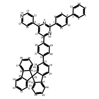 c1ccc(-c2ccc(-c3nc(-c4ccncc4)cc(-c4ccc(-c5ccc6c(c5)C5(c7ccccc7-c7ccccc75)c5ccccc5-6)cc4)n3)cc2)cc1